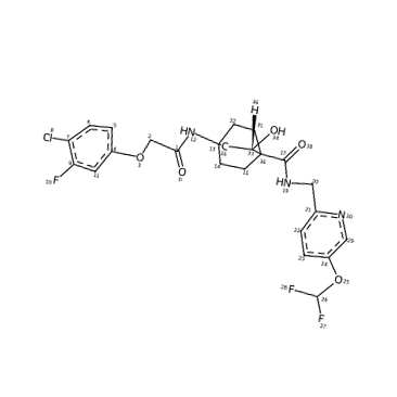 O=C(COc1ccc(Cl)c(F)c1)NC12CCC(C(=O)NCc3ccc(OC(F)F)cn3)(CC1)[C@@H](O)C2